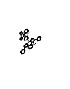 c1ccc(-c2ccc(N(c3ccc4c(c3)Oc3ccccc3C43c4ccccc4-c4ccccc43)c3ccc(-c4ccccc4)c4oc5ccccc5c34)cc2)cc1